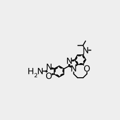 CC(C)N(C)c1cc2c3c(c1)nc(-c1ccc4oc(N)nc4c1)n3CCCCO2